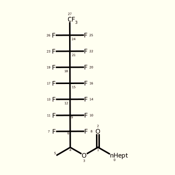 CCCCCCCC(=O)OC(C)C(F)(F)C(F)(F)C(F)(F)C(F)(F)C(F)(F)C(F)(F)C(F)(F)C(F)(F)F